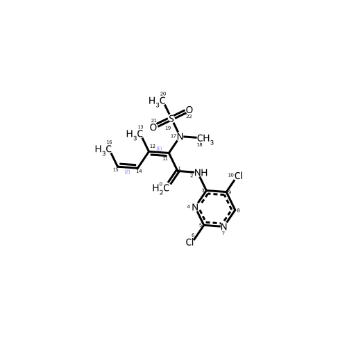 C=C(Nc1nc(Cl)ncc1Cl)/C(=C(C)\C=C/C)N(C)S(C)(=O)=O